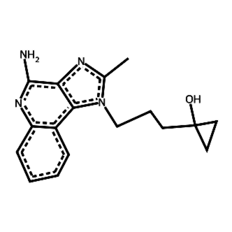 Cc1nc2c(N)nc3ccccc3c2n1CCCC1(O)CC1